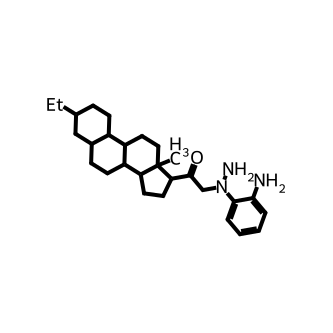 CCC1CCC2C(CCC3C2CCC2(C)C(C(=O)CN(N)c4ccccc4N)CCC32)C1